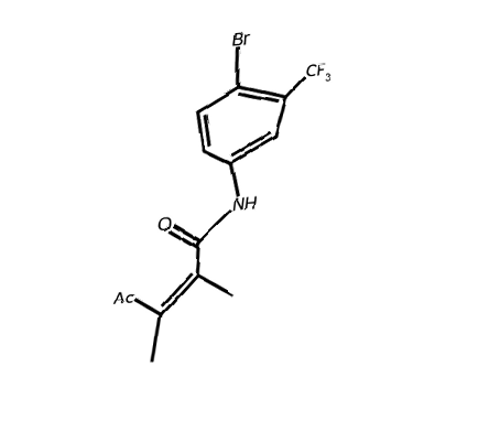 CC(=O)/C(C)=C(/C)C(=O)Nc1ccc(Br)c(C(F)(F)F)c1